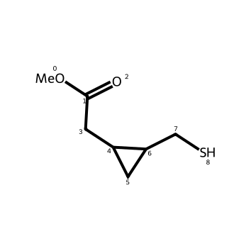 COC(=O)CC1CC1CS